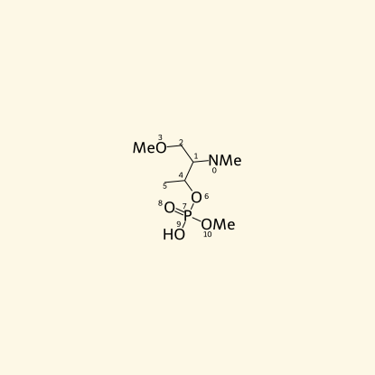 CNC(COC)C(C)OP(=O)(O)OC